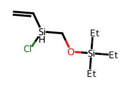 C=C[SiH](Cl)CO[Si](CC)(CC)CC